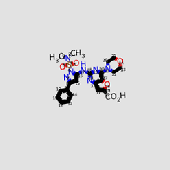 CN(C)S(=O)(=O)n1nc(-c2ccccc2)cc1Nc1nc(N2CCOCC2)c2oc(C(=O)O)cc2n1